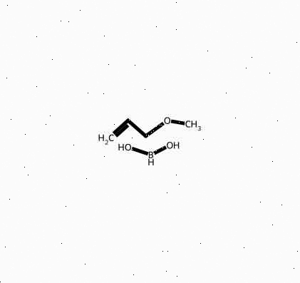 C=CCOC.OBO